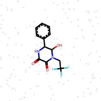 O=C1NC(c2ccccc2)C(O)N(CC(F)(F)F)C1=O